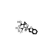 CC(C)N(C1(C(=O)O)CC1)S(=O)(=O)c1cc2ccccc2o1